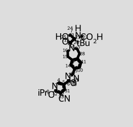 CC(C)Oc1ncc(-c2nc(-c3ccc4c(c3)CCN(C(=O)[C@@](NC(=O)O)([C@@H](C)O)C(C)(C)C)CC4)no2)cc1C#N